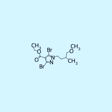 CCOC(=O)c1c(Br)nn(CCC(C)COC)c1Br